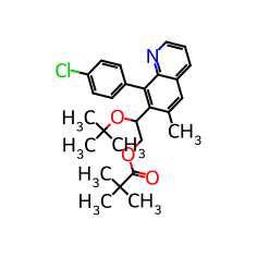 Cc1cc2cccnc2c(-c2ccc(Cl)cc2)c1C(COC(=O)C(C)(C)C)OC(C)(C)C